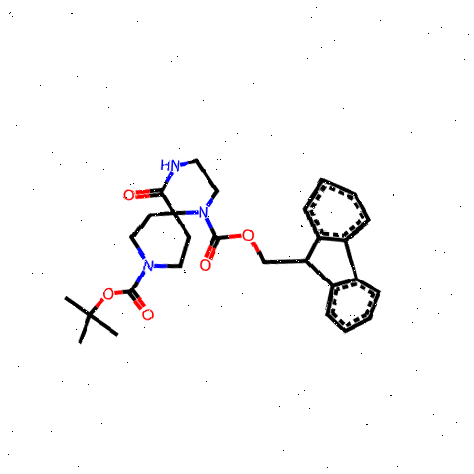 CC(C)(C)OC(=O)N1CCC2(CC1)C(=O)NCCN2C(=O)OCC1c2ccccc2-c2ccccc21